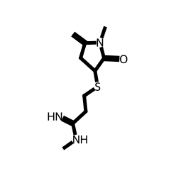 C=C1CC(SCCC(=N)NC)C(=O)N1C